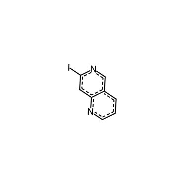 Ic1cc2ncccc2cn1